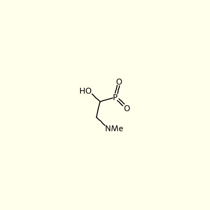 CNCC(O)P(=O)=O